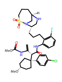 C=C(NC(=O)OC)[C@H](C(=O)Nc1cccc(F)c1CCC[C@H]1CN[C@@H]2CCCS(=O)(=O)N1C2)[C@]1(c2ccc(Cl)cc2)CC[C@@H](OC)CC1